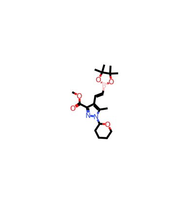 COC(=O)c1nn(C2CCCCO2)c(C)c1C=CB1OC(C)(C)C(C)(C)O1